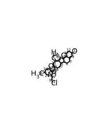 CC1=C2CC3C(CCC4=CC(=O)CCC43C)C2CCC2(C1)C[C@H]1C(CC(C)CN1CCCl)O2